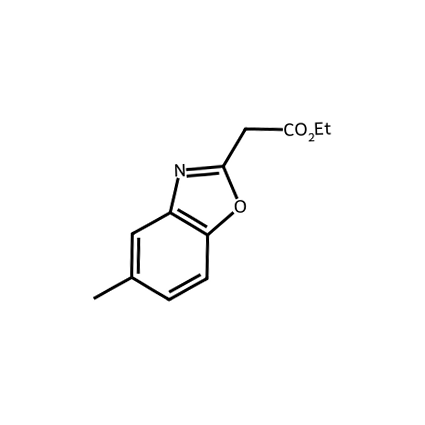 CCOC(=O)Cc1nc2cc(C)ccc2o1